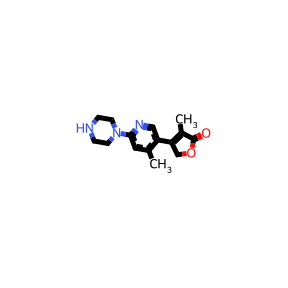 CC1=C(c2cnc(N3CCNCC3)cc2C)COC1=O